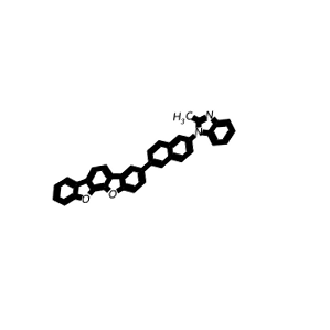 Cc1nc2ccccc2n1-c1ccc2cc(-c3ccc4oc5c(ccc6c7ccccc7oc65)c4c3)ccc2c1